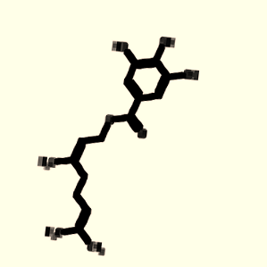 CC(C)=CCCC(C)=CCOC(=O)c1cc(O)c(O)c(O)c1